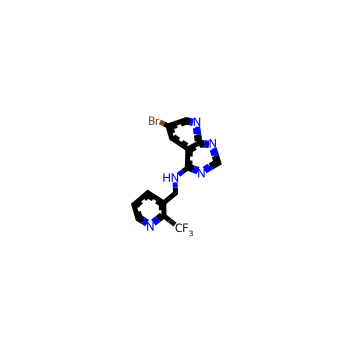 FC(F)(F)c1ncccc1CNc1ncnc2ncc(Br)cc12